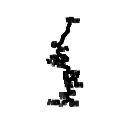 CCCCCCCCCCCCCCCC(=O)NCC(=O)NC(C)C(=O)NCC(=O)NC(CO)C(=O)NCC(=O)NC(CO)C(=O)O